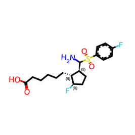 NC([C@H]1CC[C@@H](F)[C@@H]1CCCCCC(=O)O)S(=O)(=O)c1ccc(F)cc1